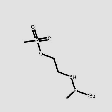 CP(BCCOS(C)(=O)=O)C(C)(C)C